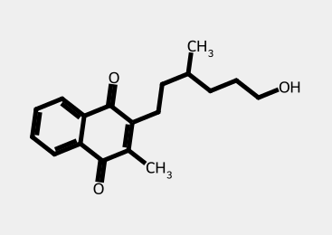 CC1=C(CCC(C)CCCO)C(=O)c2ccccc2C1=O